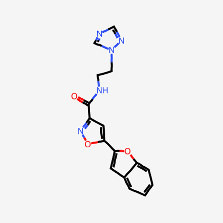 O=C(NCCn1cncn1)c1cc(-c2cc3ccccc3o2)on1